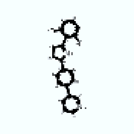 Fc1cccc(F)c1C1=NC(c2ccc(-c3cccnc3)cc2)CC1